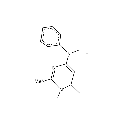 CNC1=NC(N(C)c2ccccc2)=CC(C)N1C.I